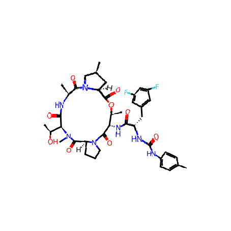 Cc1ccc(NC(=O)N[C@@H](Cc2cc(F)cc(F)c2)C(=O)N[C@@H]2C(=O)N3CCC[C@H]3C(=O)N(C)[C@@H]([C@H](C)O)C(=O)N[C@@H](C)C(=O)N3C[C@@H](C)C[C@H]3C(=O)O[C@H]2C)cc1